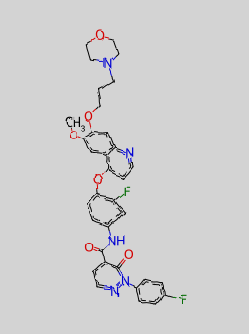 COc1cc2c(Oc3ccc(NC(=O)c4ccnn(-c5ccc(F)cc5)c4=O)cc3F)ccnc2cc1OCCCN1CCOCC1